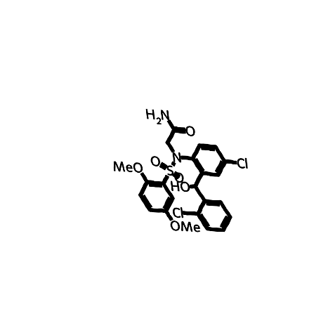 COc1ccc(OC)c(S(=O)(=O)N(CC(N)=O)c2ccc(Cl)cc2C(O)c2ccccc2Cl)c1